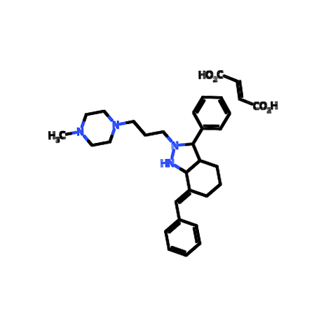 CN1CCN(CCCN2NC3C(=Cc4ccccc4)CCCC3C2c2ccccc2)CC1.O=C(O)C=CC(=O)O